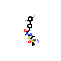 Cc1nc(N(C)C(=O)Cc2ccc(-c3cc(F)ccc3F)cc2)sc1[SH](N)(=O)C1CC1